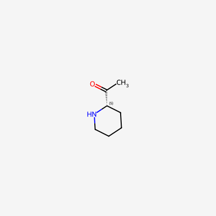 CC(=O)[C@@H]1CCCCN1